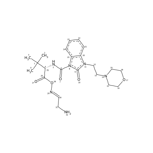 CC(C)(C)[C@H](NC(=O)n1c(=O)n(CCN2CCOCC2)c2ccccc21)C(=O)ON=CCN